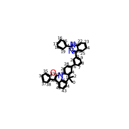 CC1(C)c2cc(-c3cccc(-c4nc(-c5ccccc5)nc5ccccc45)c3)ccc2-n2c3oc4ccccc4c3c3cccc1c32